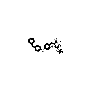 COC(=O)C(Cc1ccc(Oc2ccc(Cc3ccccc3)cc2)cc1)NC(=O)OC(C)(C)C